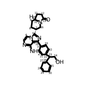 Nc1nccn2c([C@@H]3CC[C@H]4CCC(=O)N4C3)nc(-c3ccc(C(CO)c4ccccc4)cc3)c12